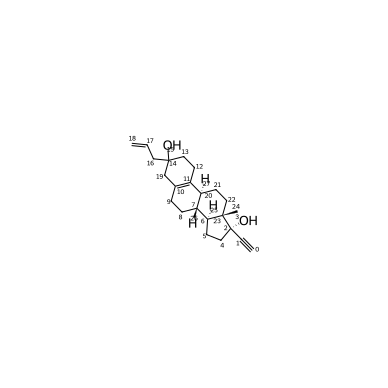 C#C[C@@]1(O)CC[C@H]2[C@@H]3CCC4=C(CCC(O)(CC=C)C4)[C@H]3CC[C@@]21C